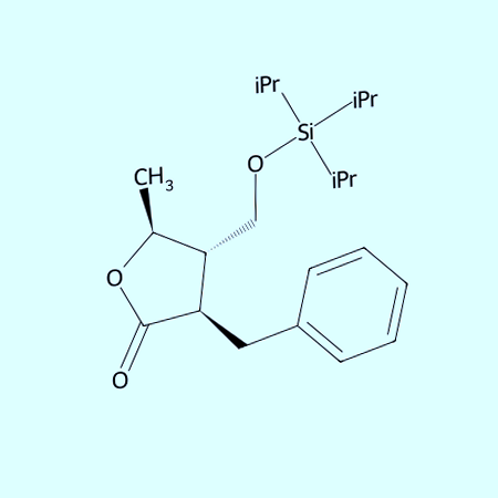 CC(C)[Si](OC[C@H]1[C@H](C)OC(=O)[C@@H]1Cc1ccccc1)(C(C)C)C(C)C